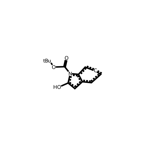 CC(C)(C)OC(=O)n1c(O)cc2ccccc21